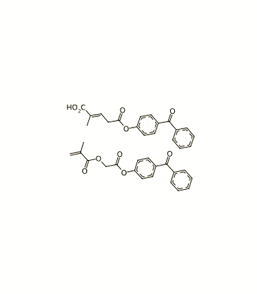 C=C(C)C(=O)OCC(=O)Oc1ccc(C(=O)c2ccccc2)cc1.CC(=CCC(=O)Oc1ccc(C(=O)c2ccccc2)cc1)C(=O)O